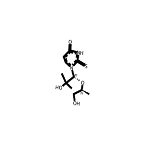 C[C@@H](CO)O[C@@H](n1ccc(=O)[nH]c1=S)C(C)(C)O